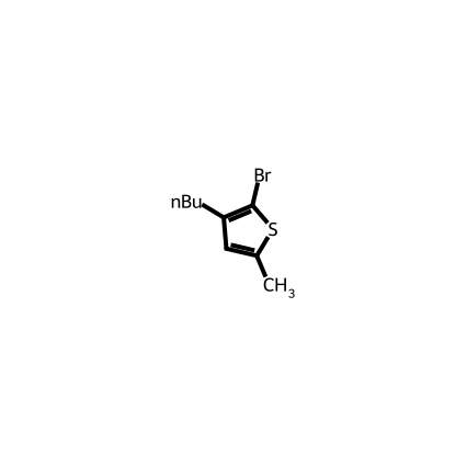 CCCCc1cc(C)sc1Br